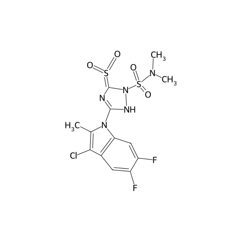 Cc1c(Cl)c2cc(F)c(F)cc2n1-c1nc(=S(=O)=O)n(S(=O)(=O)N(C)C)[nH]1